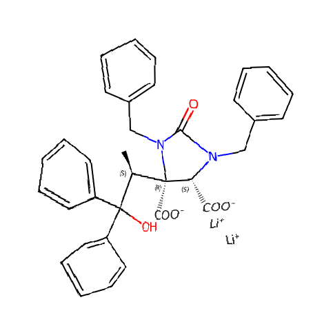 C[C@H](C(O)(c1ccccc1)c1ccccc1)[C@]1(C(=O)[O-])[C@@H](C(=O)[O-])N(Cc2ccccc2)C(=O)N1Cc1ccccc1.[Li+].[Li+]